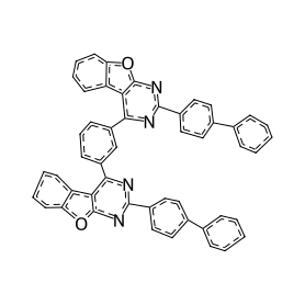 c1ccc(-c2ccc(-c3nc(-c4cccc(-c5nc(-c6ccc(-c7ccccc7)cc6)nc6oc7ccccc7c56)c4)c4c(n3)oc3ccccc34)cc2)cc1